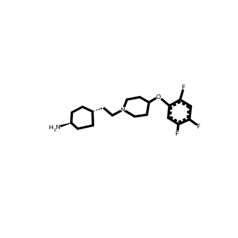 N[C@H]1CC[C@H](CCN2CCC(Oc3cc(F)c(F)cc3F)CC2)CC1